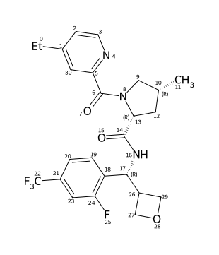 CCc1ccnc(C(=O)N2C[C@H](C)C[C@@H]2C(=O)N[C@@H](c2ccc(C(F)(F)F)cc2F)C2COC2)c1